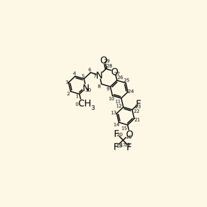 Cc1cccc(CN2Cc3cc(-c4ccc(OC(F)(F)F)cc4F)ccc3OC2=O)n1